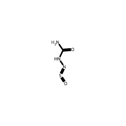 NC(=O)NN=S=O